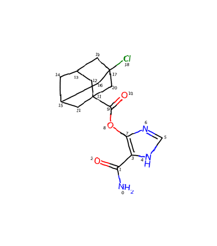 NC(=O)c1[nH]cnc1OC(=O)C12CC3CC(CC(Cl)(C3)C1)C2